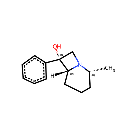 C[C@@H]1CCC[C@H]2N1C[C@]2(O)c1ccccc1